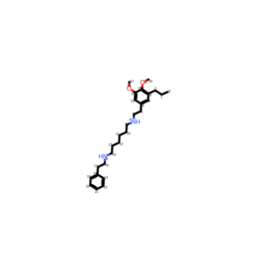 CCCc1cc(CCNCCCCCCNCCc2ccccc2)cc(OC)c1OC